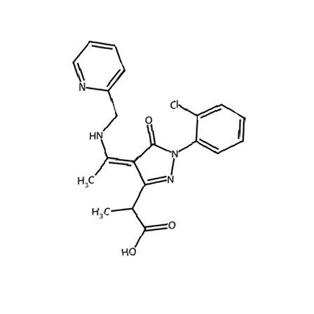 CC(NCc1ccccn1)=C1C(=O)N(c2ccccc2Cl)N=C1C(C)C(=O)O